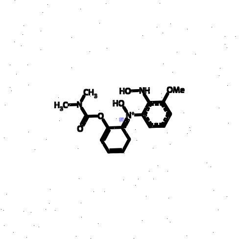 COc1cccc(/[N+](O)=C2\CC=CC=C2OC(=O)N(C)C)c1NO